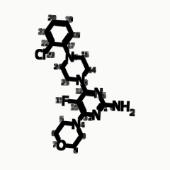 Nc1nc(N2CCOCC2)c(F)c(N2CCN(c3ccccc3Cl)CC2)n1